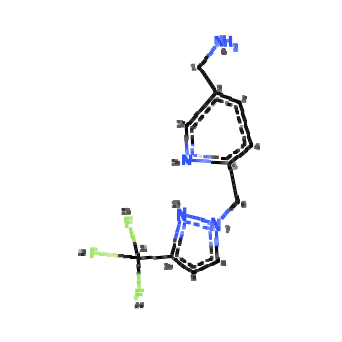 NCc1ccc(Cn2ccc(C(F)(F)F)n2)nc1